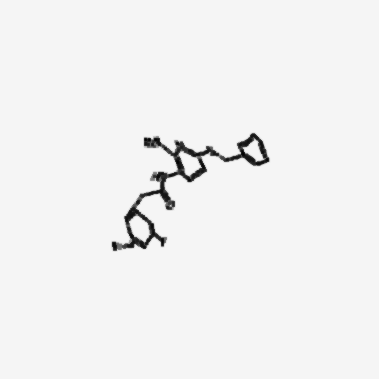 CNc1nc(SCc2ccccc2)ccc1NC(=O)Cc1cc(F)cc(F)c1